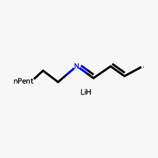 [CH2]C=CC=NCCCCCCC.[LiH]